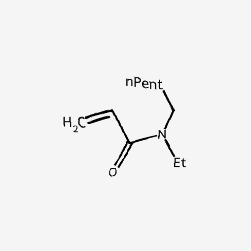 C=CC(=O)N(CC)CCCCCC